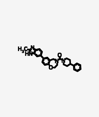 Cc1nc2ccc(-c3ccc4c(c3)CN(C(=O)N3CCC(c5ccccc5)CC3)CCO4)cc2[nH]1